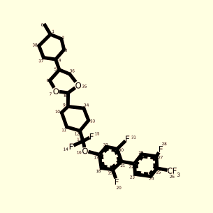 CC1CCC(C2COC(C3CCC(C(F)(F)Oc4cc(F)c(-c5ccc(C(F)(F)F)c(F)c5)c(F)c4)CC3)OC2)CC1